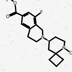 COC(=O)c1cc(F)c2c(c1)CCN([C@H]1CCN(C)C3(CCC3)C1)C2